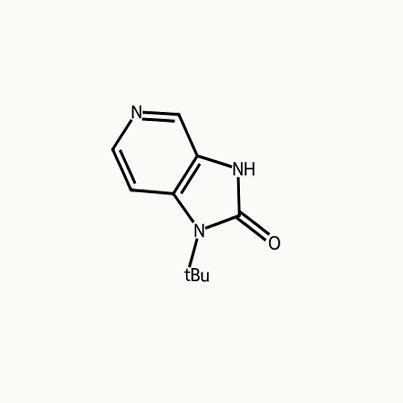 CC(C)(C)n1c(=O)[nH]c2cnccc21